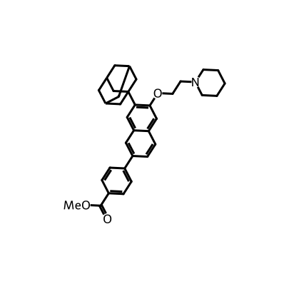 COC(=O)c1ccc(-c2ccc3cc(OCCN4CCCCC4)c(C45CC6CC(CC(C6)C4)C5)cc3c2)cc1